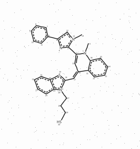 CN1C(c2nc(-c3ccccc3)cn2C)=C/C(=C\c2sc3ccccc3[n+]2CCCS)c2ccccc21